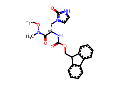 CON(C)C(=O)[C@H](Cn1cc[nH]c1=O)NC(=O)OCC1c2ccccc2-c2ccccc21